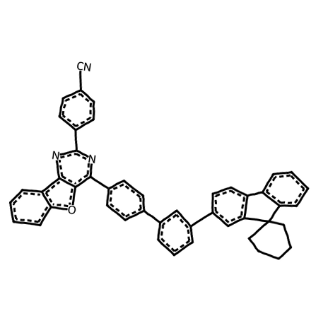 N#Cc1ccc(-c2nc(-c3ccc(-c4cccc(-c5ccc6c(c5)C5(CCCCC5)c5ccccc5-6)c4)cc3)c3oc4ccccc4c3n2)cc1